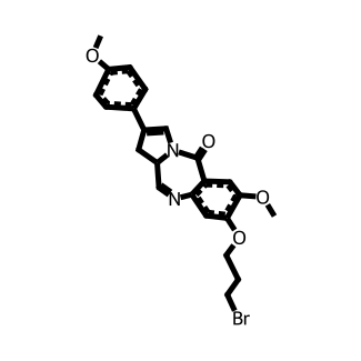 COc1ccc(C2=CN3C(=O)c4cc(OC)c(OCCCBr)cc4N=CC3C2)cc1